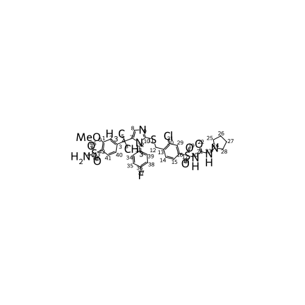 COc1cc(C(C)(C)c2cnc(SCc3ccc(S(=O)(=O)NC(=O)NN4CCCC4)cc3Cl)n2-c2ccc(F)cc2)ccc1S(N)(=O)=O